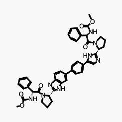 COC(=O)N[C@@H](C(=O)N1CCC[C@@H]1c1ncc(-c2ccc(-c3ccc4nc([C@@H]5CCCN5C(=O)[C@H](NC(=O)OC)c5ccccc5)[nH]c4c3)cc2)[nH]1)c1ccccc1